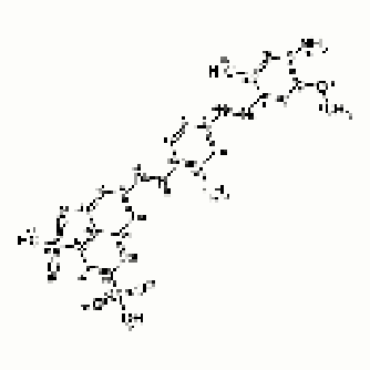 COc1cc(N=Nc2ccc(N=Nc3ccc4c(S(=O)(=O)O)cc(S(=O)(=O)O)cc4c3)c(C)c2)c(C)cc1N